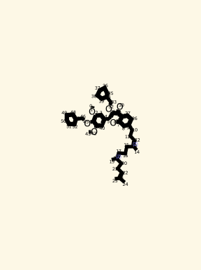 COc1cc(-c2oc3cc(CC/C=C(/C)CC/C=C(/C)CCC=C(C)C)ccc3c(=O)c2OCc2ccccc2)cc(OC)c1OCc1ccccc1